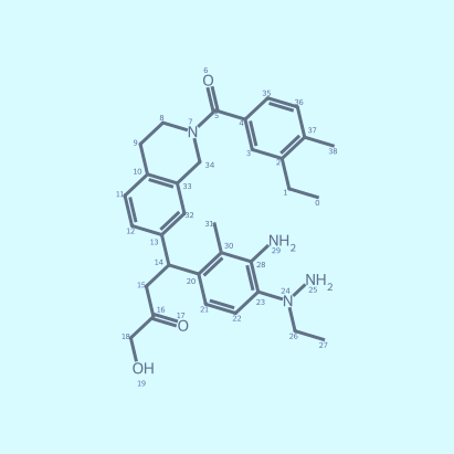 CCc1cc(C(=O)N2CCc3ccc(C(CC(=O)CO)c4ccc(N(N)CC)c(N)c4C)cc3C2)ccc1C